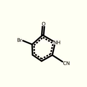 N#Cc1ccc(Br)c(=O)[nH]1